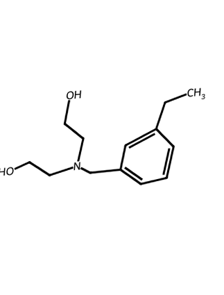 CCc1cccc(CN(CCO)CCO)c1